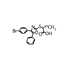 CCC(Sc1nc(-c2ccc(Br)cc2)c(-c2ccccc2)o1)C(=O)O